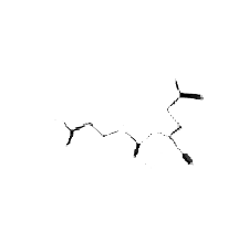 C[C@@](C#N)(CCC(=O)O)SC(=S)SCCC(=O)O